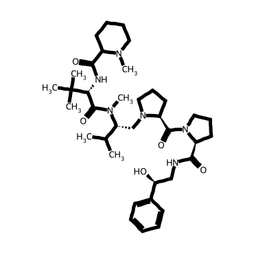 CC(C)[C@@H](CN1CCC[C@H]1C(=O)N1CCC[C@H]1C(=O)NC[C@H](O)c1ccccc1)N(C)C(=O)[C@@H](NC(=O)C1CCCCN1C)C(C)(C)C